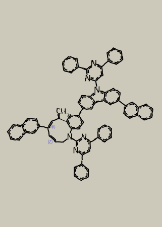 C=C1/C=C(c2ccc3ccccc3c2)\C=C/CN(c2nc(-c3ccccc3)cc(-c3ccccc3)n2)c2ccc(-c3ccc4c(c3)c3cc(-c5ccc6ccccc6c5)ccc3n4-c3cc(-c4ccccc4)nc(-c4ccccc4)n3)cc21